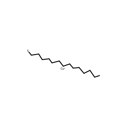 CCCCCCCCCCCCCC[S-].[Cu+]